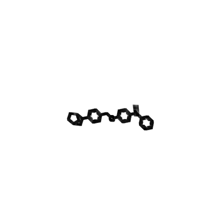 c1ccc(Nc2ccc(OCc3ccc(C4CC5CCC4C5)cc3)cc2)cc1